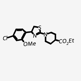 CCOC(=O)C1CCN(C2=NC(c3ccc(Cl)cc3OC)CS2)CC1